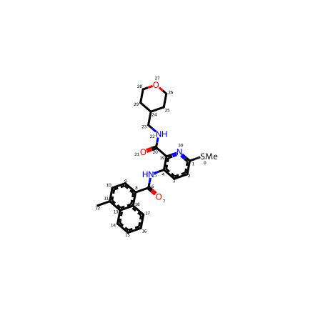 CSc1ccc(NC(=O)c2ccc(C)c3ccccc23)c(C(=O)NCC2CCOCC2)n1